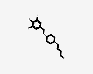 FCCC=C[C@H]1CC[C@H](CCc2cc(F)c(F)c(F)c2)CC1